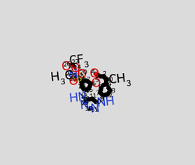 Cc1cc(=O)oc2cc(Nc3cc(Nc4cccc(S(=O)(=O)N(C)OC(=O)C(F)(F)F)c4)ncn3)ccc12